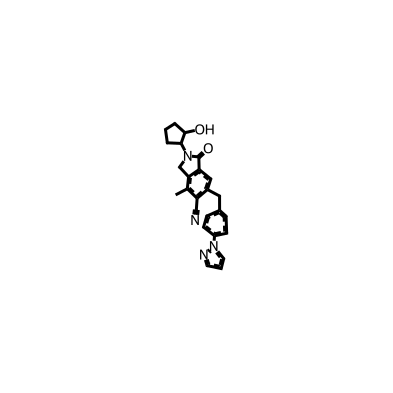 Cc1c(C#N)c(Cc2ccc(-n3cccn3)cc2)cc2c1CN(C1CCCC1O)C2=O